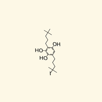 CC(C)(C)CCCc1c(O)cc(CCCC(C)(C)I)c(O)c1O